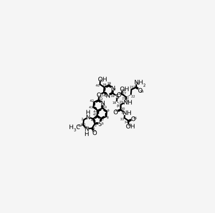 C[C@@H]1CNc2c(sc3ccc4nc(Oc5nc(SC[C@H](N[C@@H](CCC(N)=O)C(=O)O)C(=O)NCC(=O)O)ncc5CO)ccc4c23)C(=O)N1